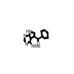 CNc1ncnc2[nH]cc(C(=O)c3ccccc3)c12